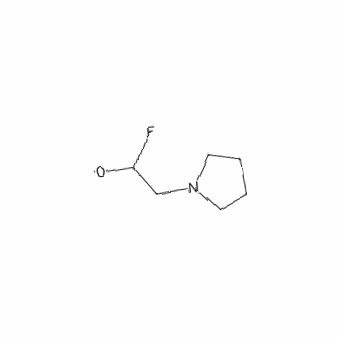 [O]C(F)CN1CCCC1